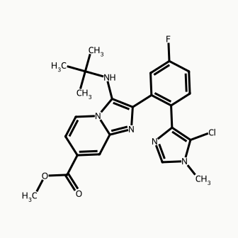 COC(=O)c1ccn2c(NC(C)(C)C)c(-c3cc(F)ccc3-c3ncn(C)c3Cl)nc2c1